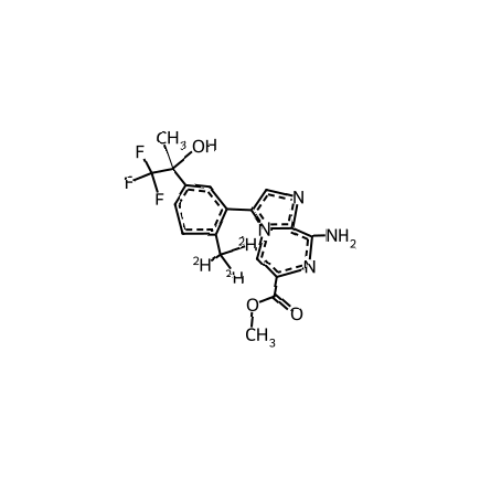 [2H]C([2H])([2H])c1ccc(C(C)(O)C(F)(F)F)cc1-c1cnc2c(N)nc(C(=O)OC)cn12